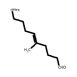 CCCCCCCCC/C=C(\C)CCCC=O